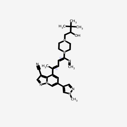 C=N/C(=C\C=C(/C)c1cc(-c2cnn(C)c2)cn2ncc(C#N)c12)N1CCN(CC(O)C(C)(C)C)CC1